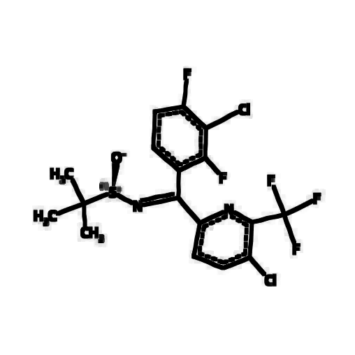 CC(C)(C)[S@@+]([O-])N=C(c1ccc(Cl)c(C(F)(F)F)n1)c1ccc(F)c(Cl)c1F